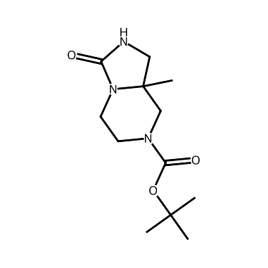 CC(C)(C)OC(=O)N1CCN2C(=O)NCC2(C)C1